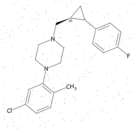 Cc1ccc(Cl)cc1N1CCN(C[C@H]2CC2c2ccc(F)cc2)CC1